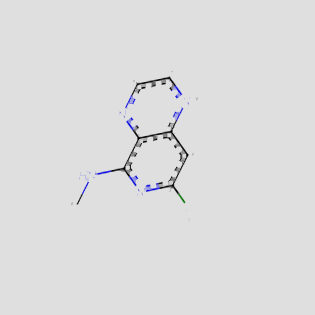 CNc1nc(Cl)cc2nccnc12